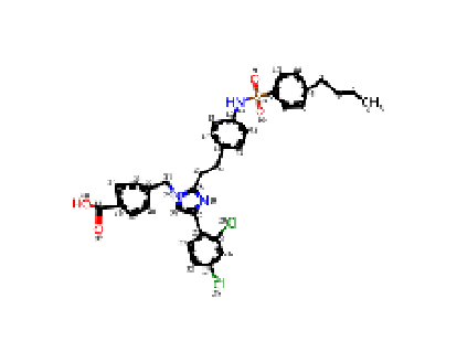 CCCCc1ccc(S(=O)(=O)Nc2ccc(CCc3nc(-c4ccc(Cl)cc4Cl)cn3Cc3ccc(C(=O)O)cc3)cc2)cc1